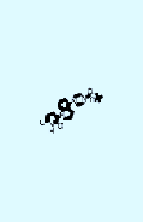 CC(C)(C)OC(=O)N1CCN(c2cccc3c2CCCN3C2CCC(=O)NC2=O)CC1